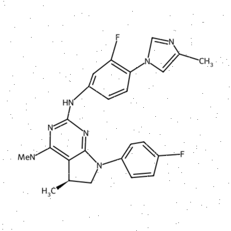 CNc1nc(Nc2ccc(-n3cnc(C)c3)c(F)c2)nc2c1[C@H](C)CN2c1ccc(F)cc1